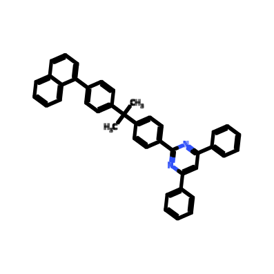 CC(C)(c1ccc(-c2nc(-c3ccccc3)cc(-c3ccccc3)n2)cc1)c1ccc(-c2cccc3ccccc23)cc1